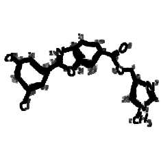 Cn1cnc(COC(=O)c2ccc3nc(-c4cc(Cl)cc(Cl)c4)oc3c2)c1